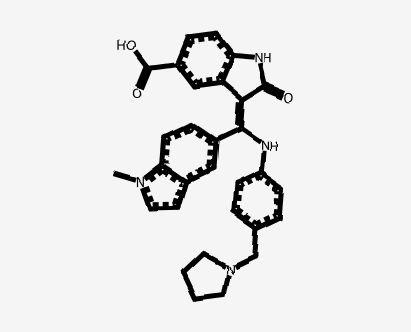 Cn1ccc2cc(/C(Nc3ccc(CN4CCCC4)cc3)=C3/C(=O)Nc4ccc(C(=O)O)cc43)ccc21